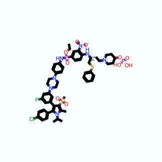 CCOP(=O)(Nc1ccc(N2CCN(c3cc(F)cc(-c4c(S(C)(=O)=O)c(C)n(C(C)C)c4-c4ccc(Cl)cc4)c3)CC2)cc1)c1ccc(N[C@H](CCN2CCC(OP(=O)(O)O)CC2)CSc2ccccc2)c([N+](=O)[O-])c1